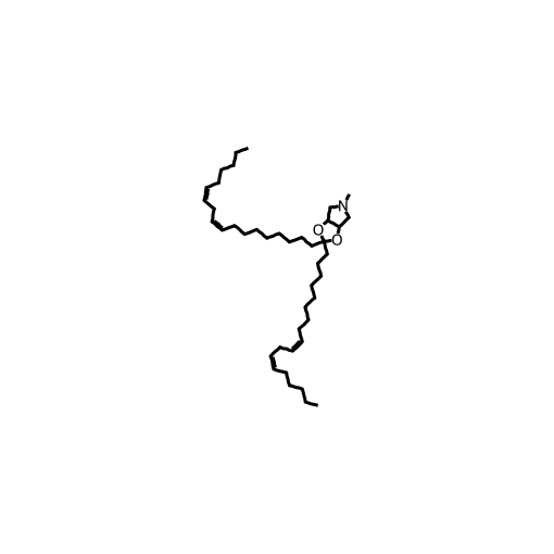 CCCCC/C=C\C/C=C\CCCCCCCCC1(CCCCCCCC/C=C\C/C=C\CCCCC)OC2CN(C)CC2O1